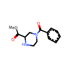 COC(=O)C1CN(C(=O)c2ccccc2)CCN1